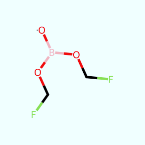 [O]B(OCF)OCF